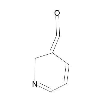 O=C=C1C=CC=NC1